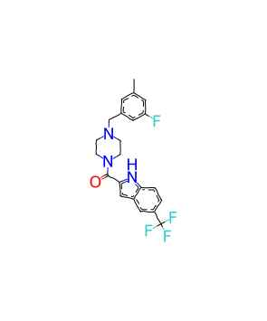 Cc1cc(F)cc(CN2CCN(C(=O)c3cc4cc(C(F)(F)F)ccc4[nH]3)CC2)c1